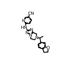 CC(c1ccc2c(c1)OCC2)N1CCn2nc(Nc3ccc(C#N)cn3)nc2C1